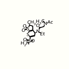 CCN(C(=O)CN(C)C(C)=O)[C@H]1C=C(S(N)(=O)=O)SC2=C1C[C@H](C)S2(=O)=O